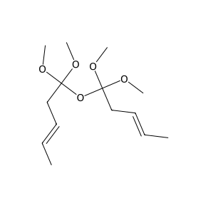 CC=CCC(OC)(OC)OC(CC=CC)(OC)OC